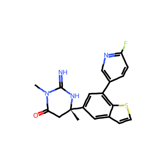 CN1C(=N)N[C@](C)(c2cc(-c3ccc(F)nc3)c3sccc3c2)CC1=O